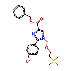 CS(C)(C)CCOCn1cc(C(=O)OCc2ccccc2)nc1-c1ccc(Br)cc1